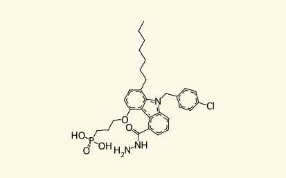 CCCCCCCc1ccc(OCCCP(=O)(O)O)c2c3c(C(=O)NN)cccc3n(Cc3ccc(Cl)cc3)c12